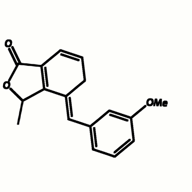 COc1cccc(C=C2CC=CC3=C2C(C)OC3=O)c1